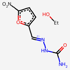 CCO.NC(=O)N/N=C/c1ccc([N+](=O)[O-])o1